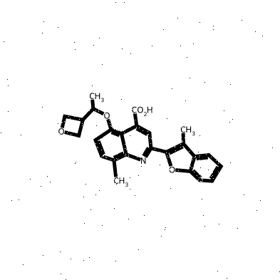 Cc1c(-c2cc(C(=O)O)c3c(OC(C)C4COC4)ccc(C)c3n2)oc2ccccc12